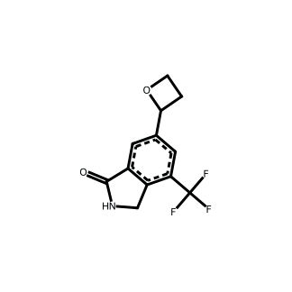 O=C1NCc2c1cc(C1CCO1)cc2C(F)(F)F